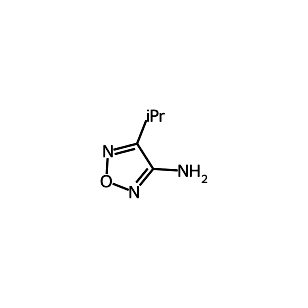 CC(C)c1nonc1N